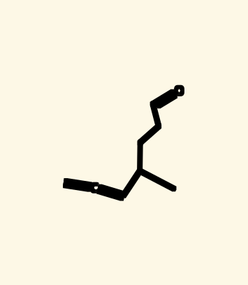 C=C=CC(C)CCC=O